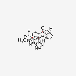 Cn1ncc2cc(C(=O)N3[C@H]4CC[C@H](c5cc(C(F)F)nc6ncnn56)[C@@H]3CC4)ccc21